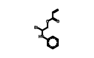 C=CC(=O)OCC(CC)Nc1ccccc1